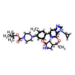 Cc1cc(-c2cc3ncn(C4CC4)c3c(O[C@H](C)C3CNC(=O)C3)n2)ccc1N1CCN(C(=O)OC(C)(C)C)CC1